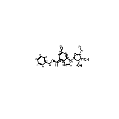 O[C@@H]1[C@H](O)[C@@H](CF)O[C@H]1n1cnc2c(NOCc3ccccc3)nc(Cl)nc21